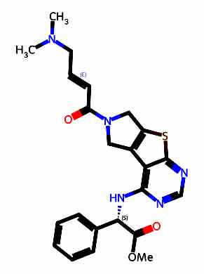 COC(=O)[C@@H](Nc1ncnc2sc3c(c12)CN(C(=O)/C=C/CN(C)C)C3)c1ccccc1